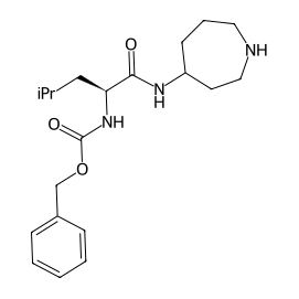 CC(C)C[C@H](NC(=O)OCc1ccccc1)C(=O)NC1CCCNCC1